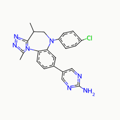 Cc1nnc2n1-c1ccc(-c3cnc(N)nc3)cc1N(c1ccc(Cl)cc1)CC2C